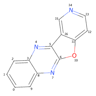 c1ccc2nc3c(nc2c1)oc1ccncc13